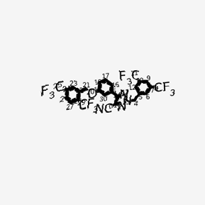 N#Cc1nn(Cc2cc(C(F)(F)F)cc(C(F)(F)F)c2)nc1-c1cccc(OCc2cc(C(F)(F)F)ccc2C(F)(F)F)c1